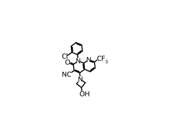 N#Cc1c(N2CC(O)C2)c2ccc(C(F)(F)F)nc2n(-c2ccccc2Cl)c1=O